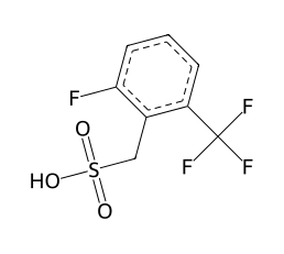 O=S(=O)(O)Cc1c(F)cccc1C(F)(F)F